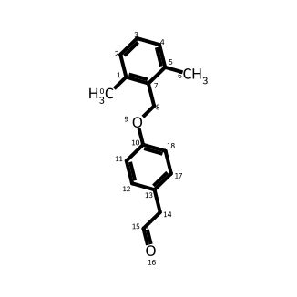 Cc1cccc(C)c1COc1ccc(C[C]=O)cc1